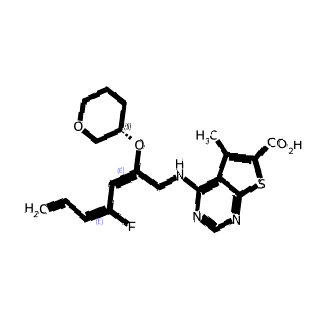 C=C/C=C(F)\C=C(/CNc1ncnc2sc(C(=O)O)c(C)c12)O[C@H]1CCCOC1